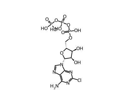 Nc1nc(Cl)nc2c1ncn2[C@@H]1O[C@H](COP(=O)(O)OP(=O)(O)OP(=O)(O)O)[C@@H](O)[C@H]1O